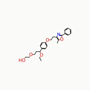 CCOC(CCOCCO)c1ccc(OCCc2nc(-c3ccccc3)oc2C)cc1